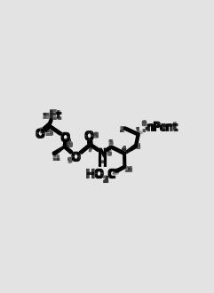 CCCCC[C@@H](C)C[C@H](CNC(=O)O[C@@H](C)OC(=O)CC)CC(=O)O